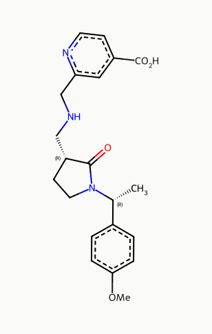 COc1ccc([C@@H](C)N2CC[C@H](CNCc3cc(C(=O)O)ccn3)C2=O)cc1